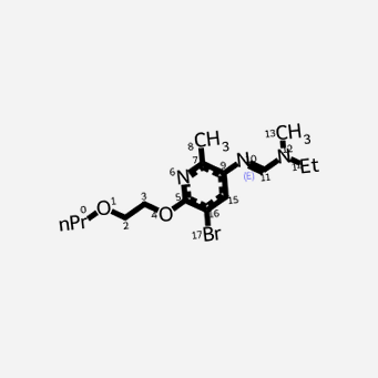 CCCOCCOc1nc(C)c(/N=C/N(C)CC)cc1Br